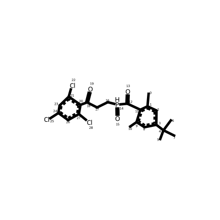 Cc1cc(C(C)(C)C)cc(C)c1C(=O)[PH](=O)CCC(=O)c1c(Cl)cc(Cl)cc1Cl